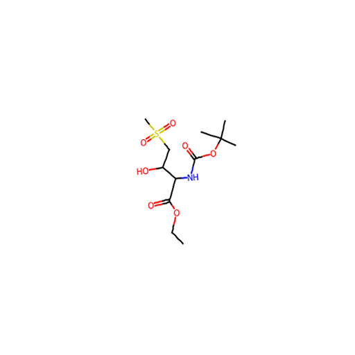 CCOC(=O)C(NC(=O)OC(C)(C)C)C(O)CS(C)(=O)=O